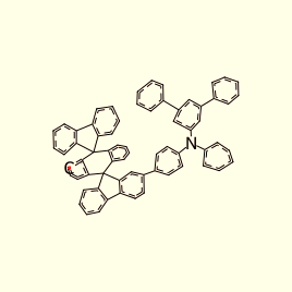 c1ccc(-c2cc(-c3ccccc3)cc(N(c3ccccc3)c3ccc(-c4ccc5c(c4)C4(c6ccccc6-5)c5ccccc5C5(c6ccccc6-c6ccccc65)c5ccccc54)cc3)c2)cc1